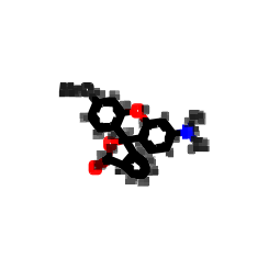 CCN(CC)c1ccc2c(c1)Oc1cc(OC)ccc1C21OC(=O)c2ccccc21